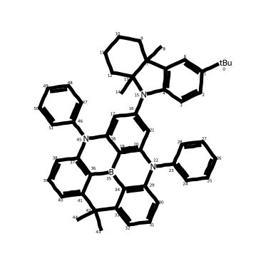 CC(C)(C)c1ccc2c(c1)C1(C)CCCCC1(C)N2c1cc2c3c(c1)N(c1ccccc1)c1cccc4c1B3c1c(cccc1C4(C)C)N2c1ccccc1